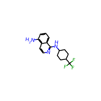 Nc1cccc2c(NC3CCC(C(F)(F)F)CC3)nccc12